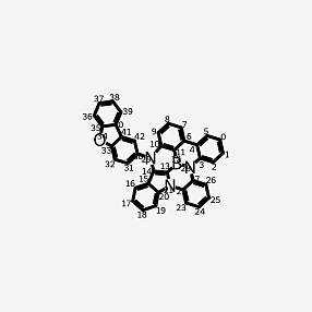 c1ccc2c(c1)-c1cccc3c1B1c4c(c5ccccc5n4-c4ccccc4N12)N3c1ccc2oc3ccccc3c2c1